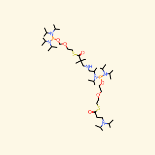 CC(C)N(CCC(=O)SCCOCCOP(N(C(C)C)C(C)C)N(C(C)C)C(C)CNCC(C)(C)C(=O)SCCOCOP(N(C(C)C)C(C)C)N(C(C)C)C(C)C)C(C)C